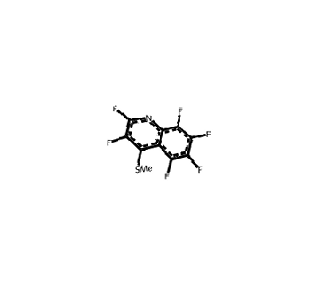 CSc1c(F)c(F)nc2c(F)c(F)c(F)c(F)c12